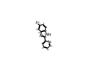 Fc1ccc2[nH]c(-c3ccccn3)nc2c1